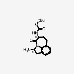 C[C@@H]1Cc2cccc3c2N1C(=O)[C@@H](NC(=O)OC(C)(C)C)CC3